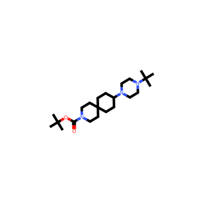 CC(C)(C)OC(=O)N1CCC2(CCC(N3CCN(C(C)(C)C)CC3)CC2)CC1